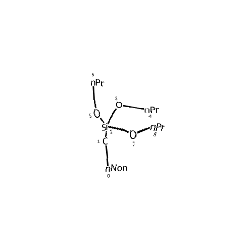 CCCCCCCCCC[Si](OCCC)(OCCC)OCCC